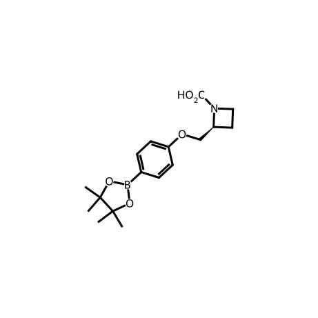 CC1(C)OB(c2ccc(OC[C@@H]3CCN3C(=O)O)cc2)OC1(C)C